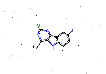 Cc1nc(Cl)nc2c1[nH]c1ccc(I)cc12